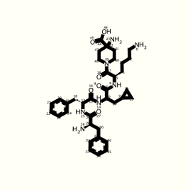 NCCCC[C@@H](NC(=O)C(CC1CC1)NC(=O)[C@@H](Cc1ccccc1)NC(=O)[C@H](N)Cc1ccccc1)C(=O)N1CCC(N)(C(=O)O)CC1